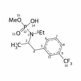 CCN(C(C)Cc1cccc(C(F)(F)F)c1)P(=O)(O)OC